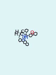 CC1(C)c2ccccc2-c2c(-c3ccc4c(c3)oc3ccccc34)nc(-n3c4ccccc4c4cc5ccccc5cc43)nc21